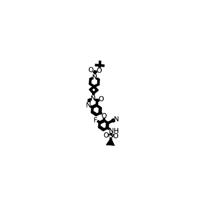 CC(C)(C)OC(=O)N1CCC2(CC1)CC(n1cnc3ccc(Oc4c(F)ccc(NS(=O)(=O)C5CC5)c4C#N)cc3c1=O)C2